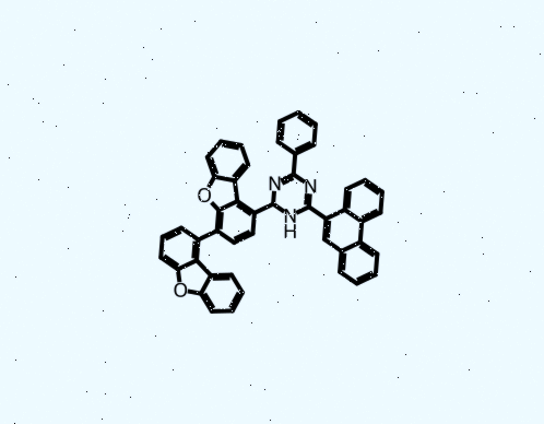 c1ccc(C2=NC(c3ccc(-c4cccc5oc6ccccc6c45)c4oc5ccccc5c34)NC(c3cc4ccccc4c4ccccc34)=N2)cc1